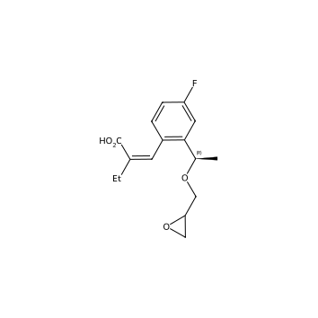 CCC(=Cc1ccc(F)cc1[C@@H](C)OCC1CO1)C(=O)O